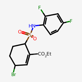 CCOC(=O)C1=CC(Br)CCC1S(=O)(=O)Nc1ccc(F)cc1F